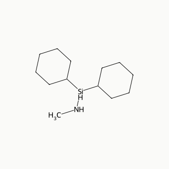 CN[SiH](C1CCCCC1)C1CCCCC1